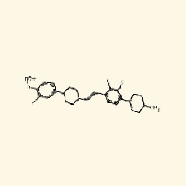 CCCCCCCCOc1ccc(C2CCC(/C=C/c3ccc(C4CCC(C)CC4)c(F)c3F)CC2)cc1F